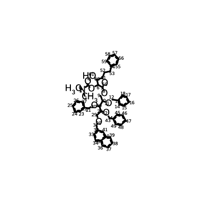 CN(C)C(=O)OC1C(OCC(OCc2ccccc2)C(OCc2ccccc2)C(COCc2ccc3ccccc3c2)OCc2ccccc2)OC(CCc2ccccc2)C1O